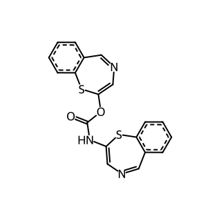 O=C(NC1=CN=Cc2ccccc2S1)OC1=CN=Cc2ccccc2S1